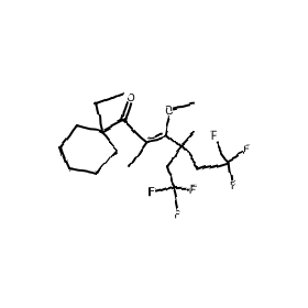 CCC1(C(=O)/C(C)=C(\OC)C(C)(CC(F)(F)F)CC(F)(F)F)CCCCC1